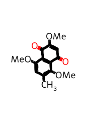 COC1=CC(=O)c2c(OC)c(C)cc(OC)c2C1=O